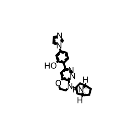 Oc1cc(-n2ccnc2)ccc1-c1cc2c(nn1)N([C@@H]1C[C@H]3CC[C@@H](C1)N3)CCO2